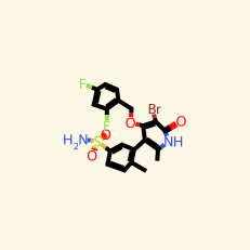 Cc1ccc(S(N)(=O)=O)cc1-c1c(C)[nH]c(=O)c(Br)c1OCc1ccc(F)cc1F